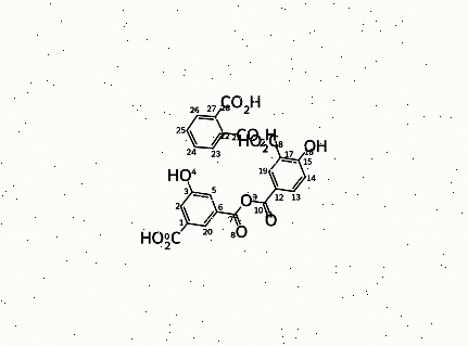 O=C(O)c1cc(O)cc(C(=O)OC(=O)c2ccc(O)c(C(=O)O)c2)c1.O=C(O)c1ccccc1C(=O)O